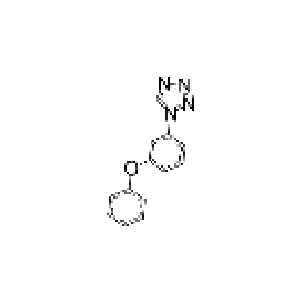 c1ccc(Oc2cccc(-n3cnnn3)c2)cc1